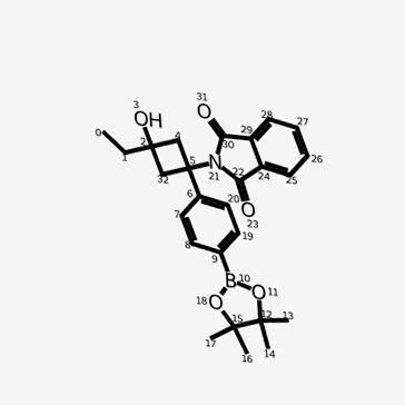 CCC1(O)CC(c2ccc(B3OC(C)(C)C(C)(C)O3)cc2)(N2C(=O)c3ccccc3C2=O)C1